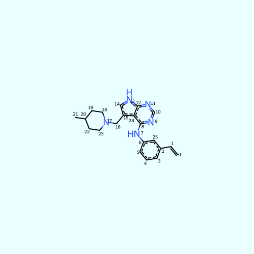 C=Cc1cccc(Nc2ncnc3[nH]cc(CN4CCC(C)CC4)c23)c1